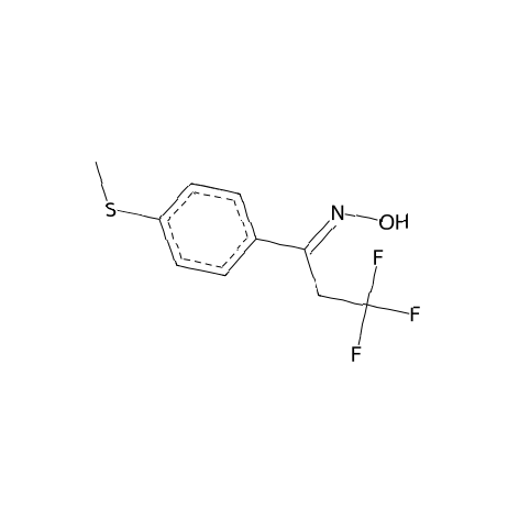 CSc1ccc(C(CC(F)(F)F)=NO)cc1